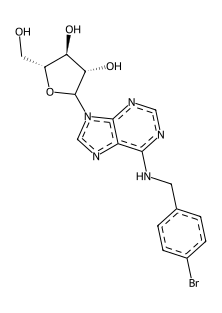 OC[C@H]1OC(n2cnc3c(NCc4ccc(Br)cc4)ncnc32)[C@@H](O)[C@@H]1O